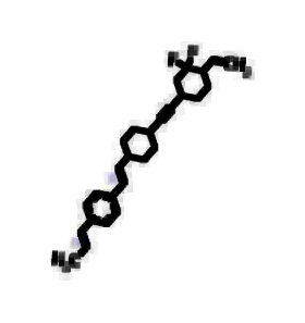 C=CC1CCC(C#CC2CCC(/C=C/c3ccc(/C=C/C)cc3)CC2)CC1(F)F